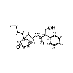 CCCCC12CC(OC(=O)C(CO)c3ccccc3)CC(C3OC31)N2C